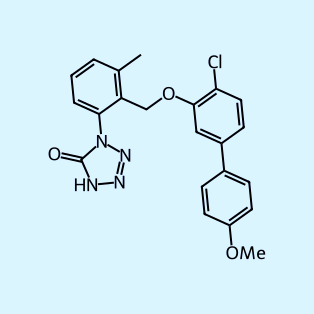 COc1ccc(-c2ccc(Cl)c(OCc3c(C)cccc3-n3nn[nH]c3=O)c2)cc1